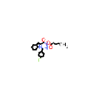 CCCCC(=O)ONC(=O)c1cc2ccccc2n1Cc1ccc(F)cc1